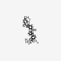 CN1CCN(C(=O)c2cc3cc(Nc4nccc(-c5cc(C(C)(C)C)ccn5)n4)ccc3[nH]2)CC1